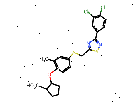 Cc1cc(SCc2nc(-c3ccc(Cl)c(Cl)c3)ns2)ccc1OC1CCCC1C(=O)O